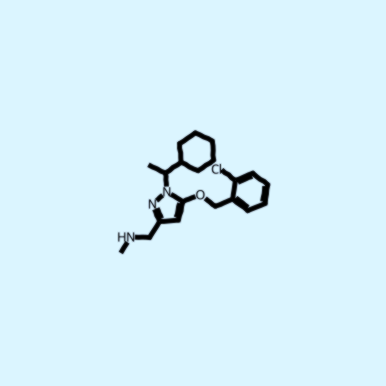 CNCc1cc(OCc2ccccc2Cl)n(C(C)C2CCCCC2)n1